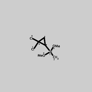 CO[Si](C)(OC)C1CC1(Cl)Cl